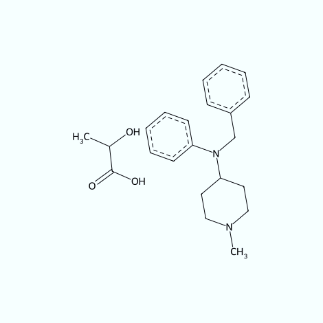 CC(O)C(=O)O.CN1CCC(N(Cc2ccccc2)c2ccccc2)CC1